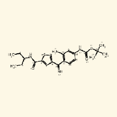 CCC(CC)NC(=O)c1cc(C(=N)c2ccc(NC(=O)OC(C)(C)C)cc2N)cs1